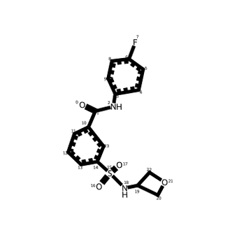 O=C(Nc1ccc(F)cc1)c1cccc(S(=O)(=O)NC2COC2)c1